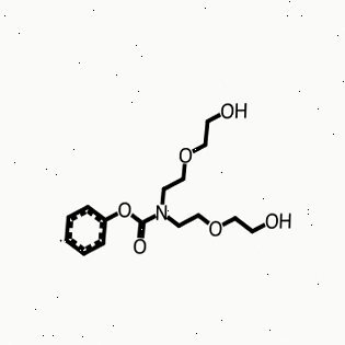 O=C(Oc1cc[c]cc1)N(CCOCCO)CCOCCO